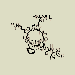 N=C(N)NCCC[C@@H]1NC(=O)[C@H](CCCCN)NC(=O)[C@@H](Cc2ccccc2)NC(=O)[C@H](CC(=O)NCC(=O)N[C@H](CS)C(=O)O)NC(=O)CNC1=O